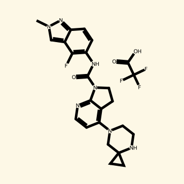 Cn1cc2c(F)c(NC(=O)N3CCc4c(N5CCNC6(CC6)C5)ccnc43)ccc2n1.O=C(O)C(F)(F)F